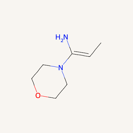 C/C=C(\N)N1CCOCC1